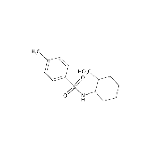 Cc1ccc(S(=O)(=O)NC2CCCCC2C(=O)O)cc1